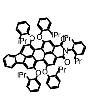 CC(C)c1ccccc1Oc1cc2c3c(cc(Oc4ccccc4C(C)C)c4c5c(Oc6ccccc6C(C)C)cc6c7c(cc(Oc8ccccc8C(C)C)c(c1c34)c75)-c1ccccc1-6)C(=O)N(c1c(C(C)C)cccc1C(C)C)C2=O